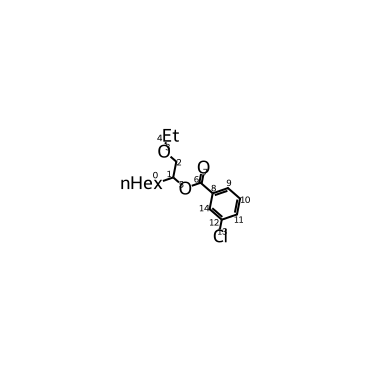 CCCCCCC(COCC)OC(=O)c1cccc(Cl)c1